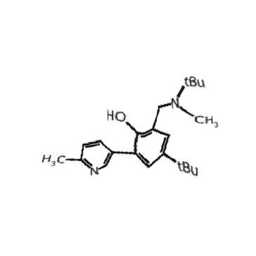 Cc1ccc(-c2cc(C(C)(C)C)cc(CN(C)C(C)(C)C)c2O)cn1